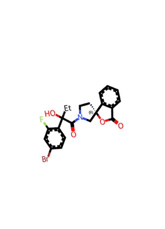 CCC(O)(C(=O)N1CC[C@@]2(C1)OC(=O)c1ccccc12)c1ccc(Br)cc1F